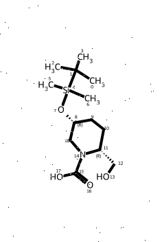 CC(C)(C)[Si](C)(C)O[C@@H]1CC[C@H](CO)N(C(=O)O)C1